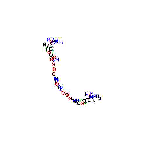 C/C(=C\c1cc(F)c(Oc2ccc(SNCCOCCOCCOCCn3cc(COCc4cn(CCOCCOCCOCCNS(=O)(=O)c5ccc(Oc6c(F)cc(/C=C(\C)C(=O)N=C(N)N)cc6F)cc5)nn4)nn3)cc2)c(F)c1)C(=O)N=C(N)N